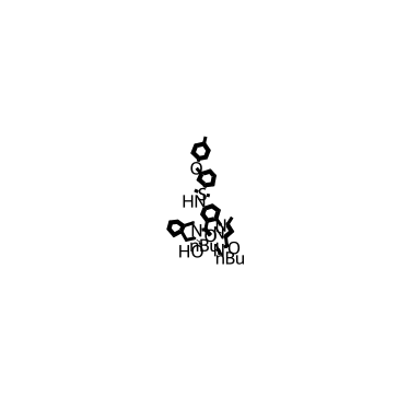 CCCCN(CCCC)C(=O)c1cc(C)n(-c2ccc(NS(C)(C)c3cccc(Oc4ccc(C)cc4)c3)cc2C(=O)N2Cc3ccccc3C[C@H]2CO)n1